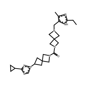 CCc1nc(C)c(CN2CC3(C2)CN(C(=O)N2CC4(CC(n5cnc(C6CC6)n5)C4)C2)C3)[nH]1